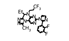 CCC1c2nnc(C)n2-c2cnc(-n3ccnc3-c3cccc(F)c3F)nc2N1CCC(F)(F)F